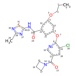 CCCOc1cc(Oc2ncc(C(=O)N3CCC3)cc2Cl)cc(C(=O)Nc2nc(C)ns2)c1